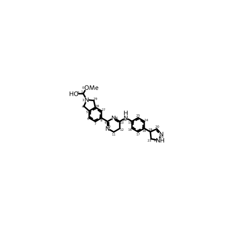 COC(O)N1Cc2ccc(C3=NCCC(Nc4ccc(C5C=NNC5)cc4)=N3)cc2C1